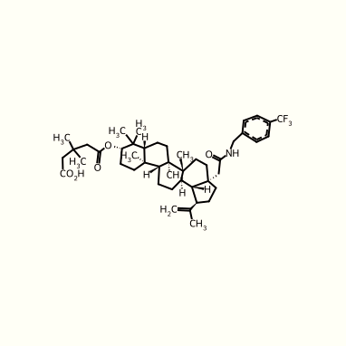 C=C(C)[C@@H]1CC[C@]2(CC(=O)NCc3ccc(C(F)(F)F)cc3)CC[C@]3(C)[C@H](CC[C@@H]4[C@@]5(C)CC[C@H](OC(=O)CC(C)(C)CC(=O)O)C(C)(C)[C@@H]5CC[C@]43C)[C@@H]12